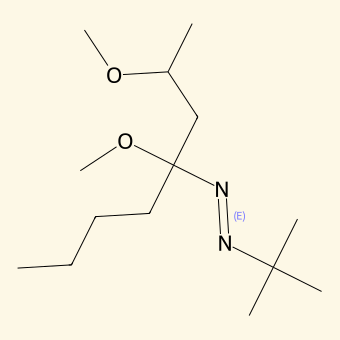 CCCCC(CC(C)OC)(/N=N/C(C)(C)C)OC